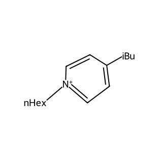 CCCCCC[n+]1ccc(C(C)CC)cc1